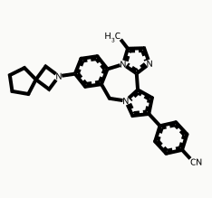 Cc1cnc2n1-c1ccc(N3CC4(CCCC4)C3)cc1Cn1cc(-c3ccc(C#N)cc3)cc1-2